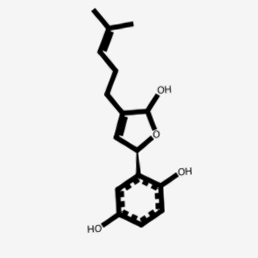 CC(C)=CCCC1=C[C@H](c2cc(O)ccc2O)OC1O